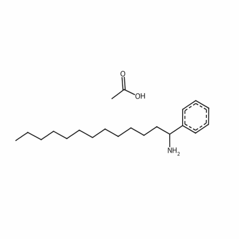 CC(=O)O.CCCCCCCCCCCCC(N)c1ccccc1